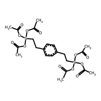 CC(=O)O[Si](CCc1ccc(CC[Si](OC(C)=O)(OC(C)=O)OC(C)=O)cc1)(OC(C)=O)OC(C)=O